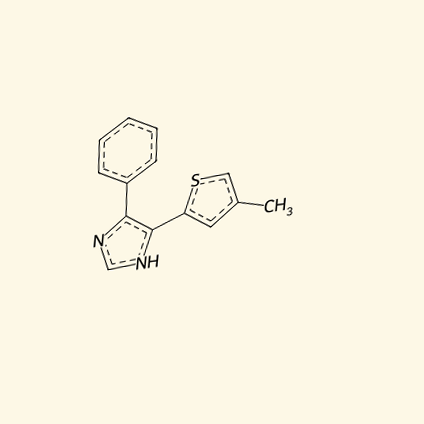 Cc1csc(-c2[nH]cnc2-c2ccccc2)c1